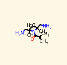 C=C(C)C(=O)N(C(C)(C)CN)C(C)(C)CN